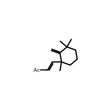 C=C1C(C)(C)CCCC1(C)C=CC(C)=O